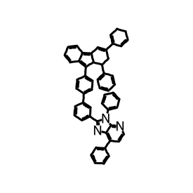 C1=CC(C2=CC3=c4ccccc4=C(c4ccc(-c5cccc(-c6nc7c(-c8ccccc8)ccnc7n6-c6ccccc6)c5)cc4)C3C(c3ccccc3)C2)=CCC1